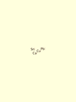 [Ca].[Cu].[Pb].[Sn]